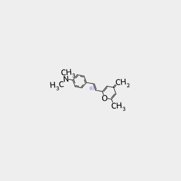 C=C1C=C(C)OC(/C=C/c2ccc(N(C)C)cc2)=C1